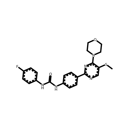 CSc1cnc(-c2ccc(NC(=O)Nc3ccc(F)cc3)cc2)nc1N1CCOCC1